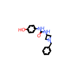 O=C(Nc1ccc(O)cc1)NC1CN(Cc2ccccc2)C1